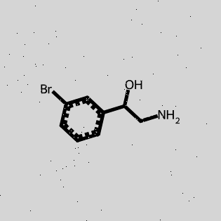 NCC(O)c1cccc(Br)c1